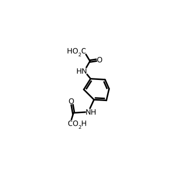 O=C(O)C(=O)Nc1cccc(NC(=O)C(=O)O)c1